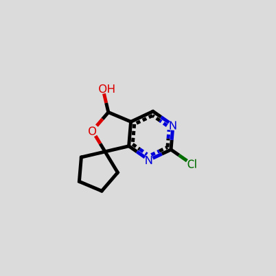 OC1OC2(CCCC2)c2nc(Cl)ncc21